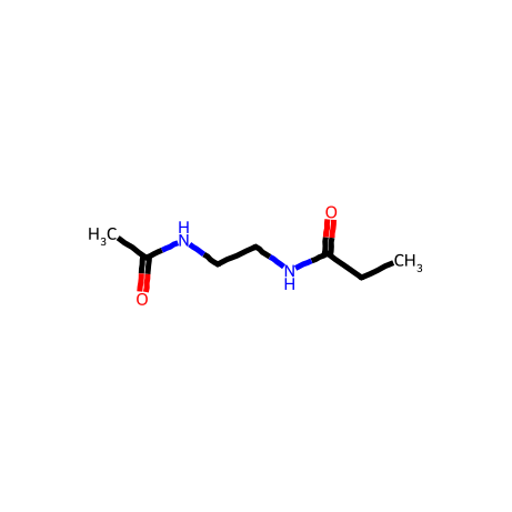 CCC(=O)NCCNC(C)=O